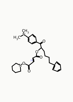 CN(C)c1ccc(C(=O)C(CCCCc2ccccc2)OC(=O)/C=C/C(=O)ON2CCCCC2)cc1